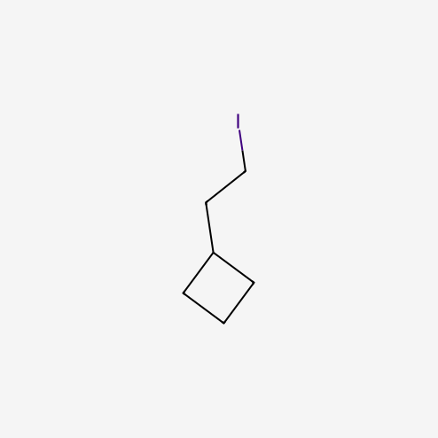 ICCC1CCC1